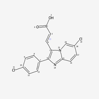 O=C(O)/C=C/c1c(-c2ccc(Cl)cc2)nc2ccc(Cl)cn12